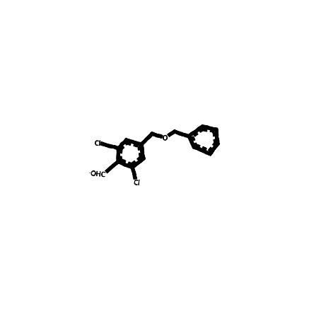 O=[C]c1c(Cl)cc(COCc2ccccc2)cc1Cl